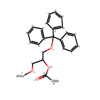 CCCCCCOCC(COC(c1ccccc1)(c1ccccc1)c1ccccc1)OC(=O)OC